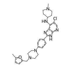 Cc1ccc(CN2CCN(c3ccc(-c4nc5c(NC6CCN(C)CC6)c(Cl)cnc5[nH]4)cc3)CC2)o1